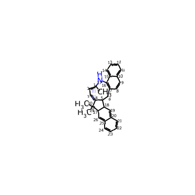 C/C1=C\C=C2/C(Cc3ccc4ccccc4c3N1)C1C=c3ccccc3=CC1C2(C)C